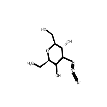 BC[C@H]1OC(CO)[C@H](O)C(N=[N+]=[N-])C1O